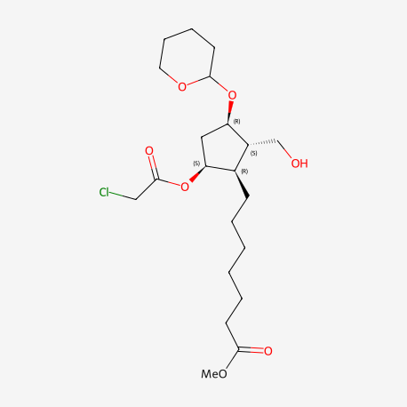 COC(=O)CCCCCC[C@@H]1[C@@H](CO)[C@H](OC2CCCCO2)C[C@@H]1OC(=O)CCl